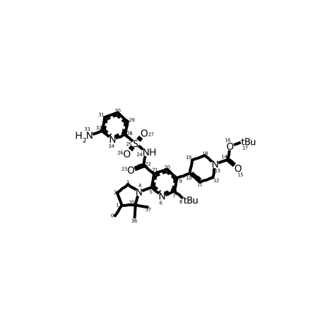 CC1CCN(c2nc(C(C)(C)C)c(C3=CCN(C(=O)OC(C)(C)C)CC3)cc2C(=O)NS(=O)(=O)c2cccc(N)n2)C1(C)C